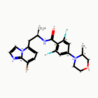 O=C(N[C@@H](Cc1ccc(Br)c2nccn12)C(=O)O)c1c(F)cc(N2CCOCC2C(F)(F)F)cc1F